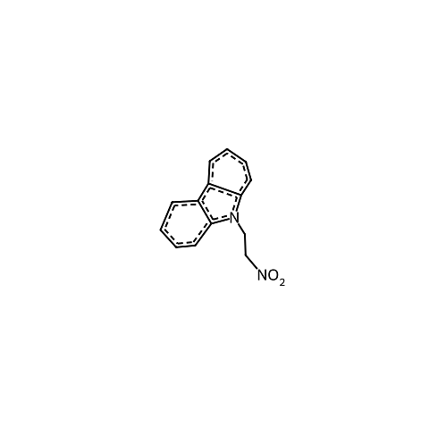 O=[N+]([O-])CCn1c2ccccc2c2ccccc21